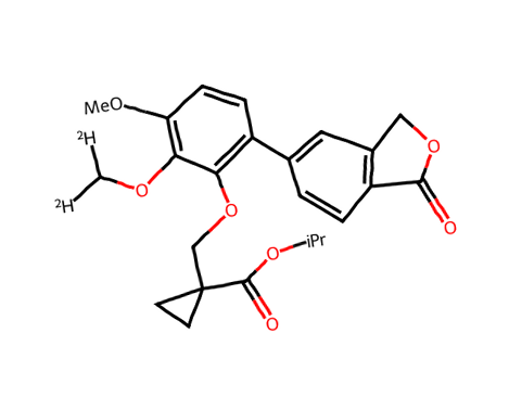 [2H]C([2H])Oc1c(OC)ccc(-c2ccc3c(c2)COC3=O)c1OCC1(C(=O)OC(C)C)CC1